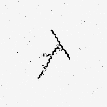 CCCCCCCCC(CCCCCCCC)OC(=O)CCCCN(CCO)CCCCCC(=O)OCCCCC